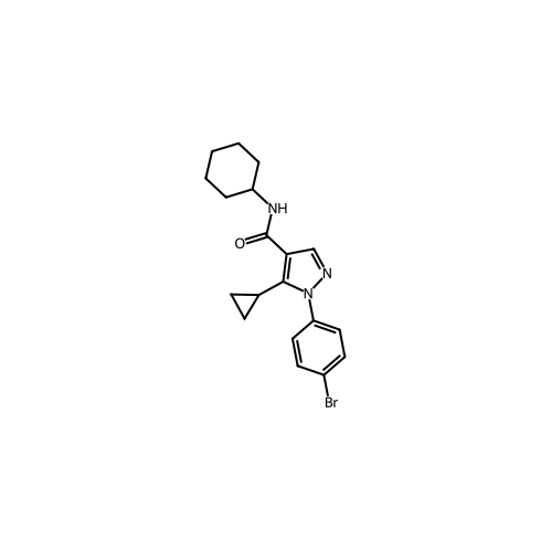 O=C(NC1CCCCC1)c1cnn(-c2ccc(Br)cc2)c1C1CC1